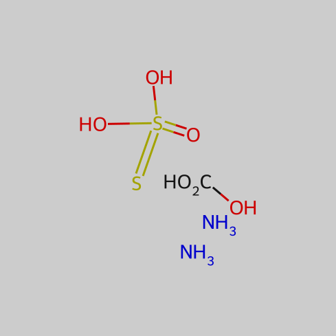 N.N.O=C(O)O.O=S(O)(O)=S